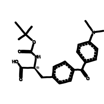 CN(C)c1ccc(C(=O)c2ccc(C[C@H](NC(=O)OC(C)(C)C)C(=O)O)cc2)cc1